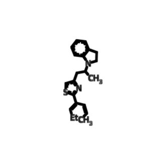 C/C=C\C(=C/CC)c1nc(CC(C)N2CCc3ccccc32)cs1